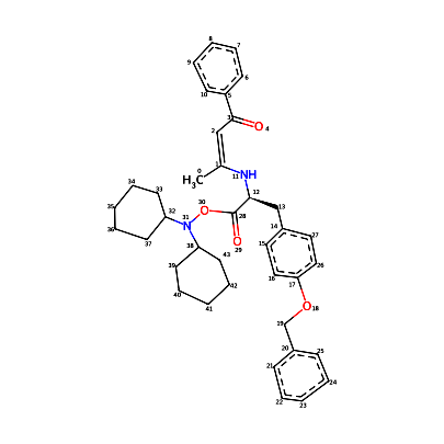 CC(=CC(=O)c1ccccc1)N[C@@H](Cc1ccc(OCc2ccccc2)cc1)C(=O)ON(C1CCCCC1)C1CCCCC1